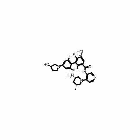 C[C@@H]1C[C@H](N)CN(c2ccncc2NC(=O)c2ccc(F)c(-c3c(F)cc(N4CC[C@H](O)C4)cc3F)c2F)C1.Cl.Cl